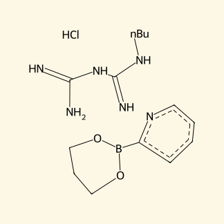 CCCCNC(=N)NC(=N)N.Cl.c1ccc(B2OCCCO2)nc1